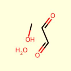 CO.O.O=CC=O